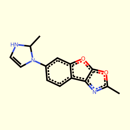 Cc1nc2c(o1)oc1cc(N3C=CNC3C)ccc12